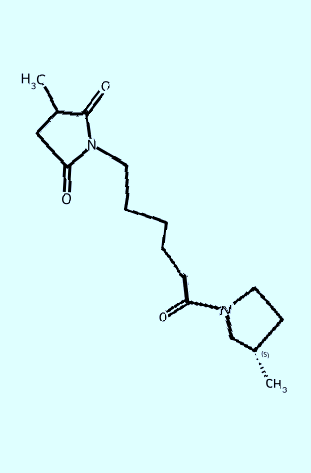 CC1CC(=O)N(CCCCCC(=O)N2CC[C@H](C)C2)C1=O